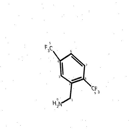 NCc1cc(C(F)(F)F)ccc1C(F)(F)F